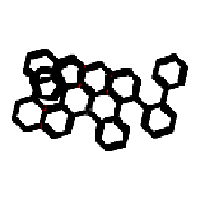 c1ccc(-c2ccccc2-c2ccccc2-c2ccccc2N(c2ccccc2-c2cccc3cccc(C4CCCCC4)c23)c2cccc3oc4ccccc4c23)cc1